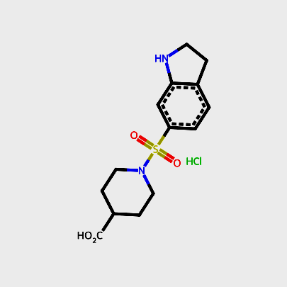 Cl.O=C(O)C1CCN(S(=O)(=O)c2ccc3c(c2)NCC3)CC1